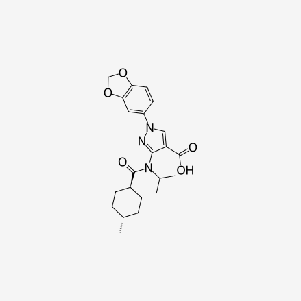 CC(C)N(c1nn(-c2ccc3c(c2)OCO3)cc1C(=O)O)C(=O)[C@H]1CC[C@H](C)CC1